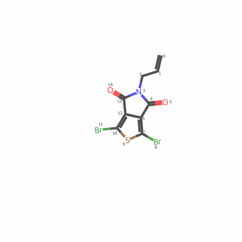 C=CCN1C(=O)c2c(Br)sc(Br)c2C1=O